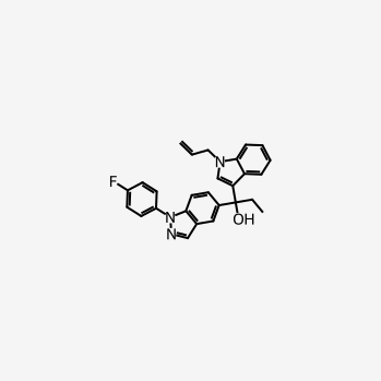 C=CCn1cc(C(O)(CC)c2ccc3c(cnn3-c3ccc(F)cc3)c2)c2ccccc21